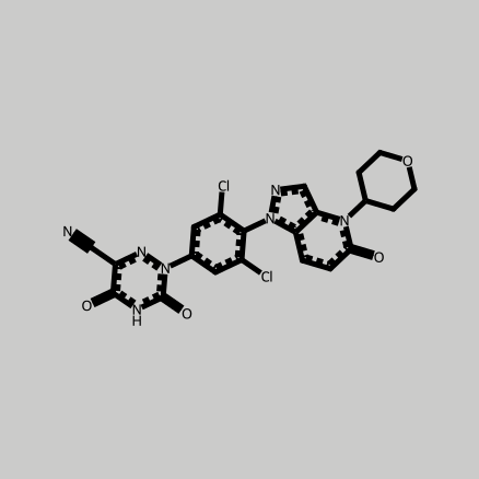 N#Cc1nn(-c2cc(Cl)c(-n3ncc4c3ccc(=O)n4C3CCOCC3)c(Cl)c2)c(=O)[nH]c1=O